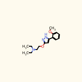 CCN(CC)CCOc1cc(-c2ccccc2OC)[nH]n1